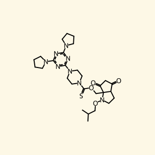 CC(C)CON1CCC2C(=O)CC(=O)C21COC(=S)N1CCN(c2nc(N3CCCC3)nc(N3CCCC3)n2)CC1